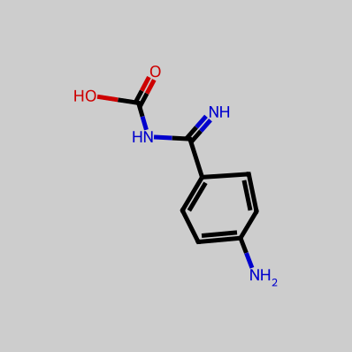 N=C(NC(=O)O)c1ccc(N)cc1